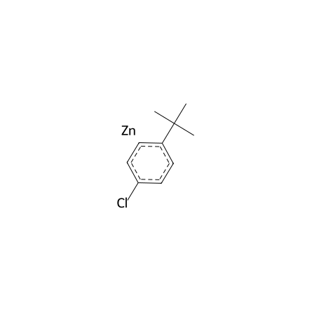 CC(C)(C)c1ccc(Cl)cc1.[Zn]